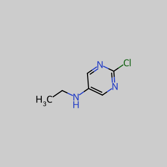 CCNc1cnc(Cl)nc1